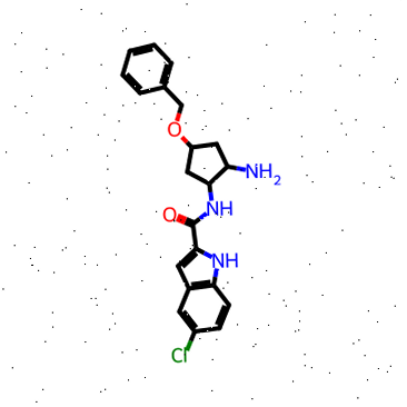 NC1CC(OCc2ccccc2)CC1NC(=O)c1cc2cc(Cl)ccc2[nH]1